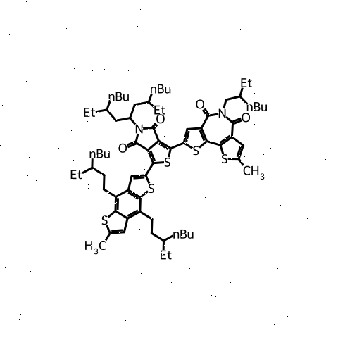 CCCCC(CC)CCc1c2cc(-c3sc(-c4cc5c(=O)n(CC(CC)CCCC)c(=O)c6cc(C)sc6c5s4)c4c3C(=O)N(C(CC(CC)CCCC)CC(CC)CCCC)C4=O)sc2c(CCC(CC)CCCC)c2cc(C)sc12